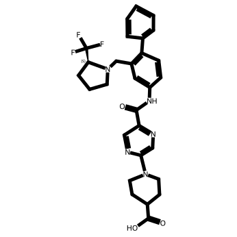 O=C(Nc1ccc(-c2ccccc2)c(CN2CCC[C@H]2C(F)(F)F)c1)c1cnc(N2CCC(C(=O)O)CC2)cn1